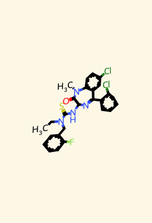 CCN(Cc1ccccc1F)C(=S)NC1N=C(c2ccccc2Cl)c2cc(Cl)ccc2N(C)C1=O